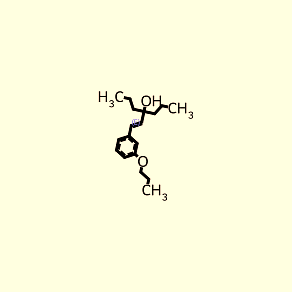 CCCOc1cccc(/C=C/C(O)(CCC)CCC)c1